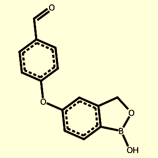 O=Cc1ccc(Oc2ccc3c(c2)COB3O)cc1